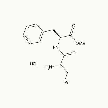 COC(=O)[C@H](Cc1ccccc1)NC(=O)[C@@H](N)CC(C)C.Cl